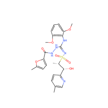 COc1cccc(OC)c1N/C(=N/S(=O)(=O)[C@@H](C)[C@H](O)c1ccc(C)cn1)NNC(=O)c1ccc(C)o1